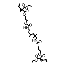 C=CC1CC1(C(=O)OCC)C(=O)OCCCOC(=O)NCCC(C)CC(C)(C)CNC(=O)OCCCOC(=O)C1(C(=O)OCC)CC1C=C